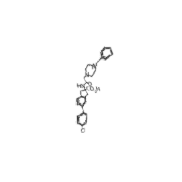 O=C(CN1CCN(c2ccccc2)CC1)NC1(C(=O)O)Cc2ccc(-c3ccc(Cl)cc3)cc2C1